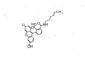 CCCCCCNC(=O)c1cccc(-c2c3ccc(=O)cc-3oc3cc(O)ccc23)c1C(=O)O